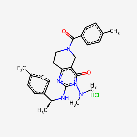 Cc1ccc(C(=O)N2CCc3nc(N[C@@H](C)c4ccc(C(F)(F)F)cc4)n(N(C)C)c(=O)c3C2)cc1.Cl